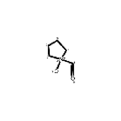 O=C[N+]1([O-])CCCC1